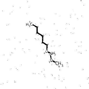 CCCCCCO[SiH2]OC